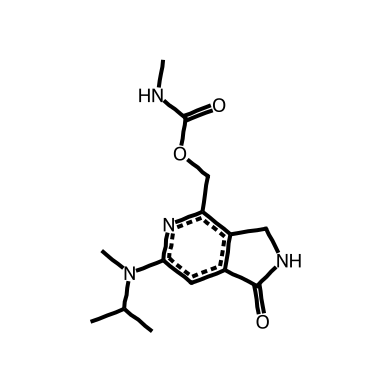 CNC(=O)OCc1nc(N(C)C(C)C)cc2c1CNC2=O